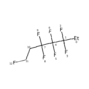 [CH2]CC(F)(F)C(F)(F)C(F)(F)CCF